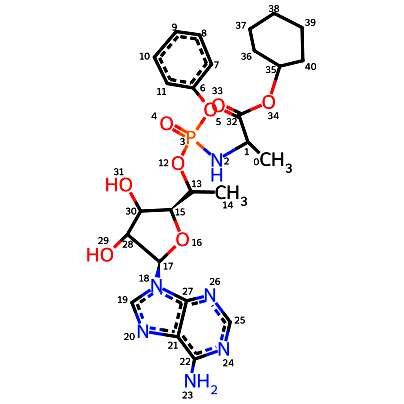 CC(NP(=O)(Oc1ccccc1)OC(C)[C@H]1O[C@@H](n2cnc3c(N)ncnc32)C(O)C1O)C(=O)OC1CCCCC1